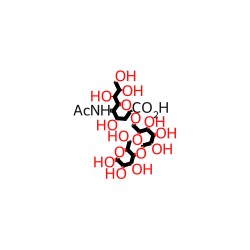 CC(=O)NC1C([C@H](O)[C@H](O)CO)O[C@@](OCC2OC(OC3C(CO)OC(O)C(O)C3O)C(O)C(O)C2O)(C(=O)O)C[C@H]1O